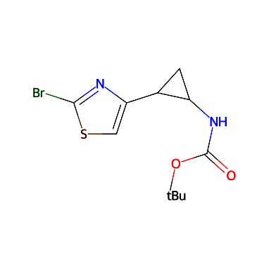 CC(C)(C)OC(=O)NC1CC1c1csc(Br)n1